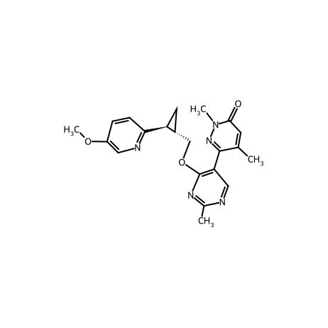 COc1ccc([C@H]2C[C@@H]2COc2nc(C)ncc2-c2nn(C)c(=O)cc2C)nc1